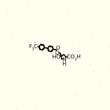 O=C(OC[C@@]1(O)CN[C@H](C(=O)O)C1)c1ccc(-c2ccc(C(F)(F)F)cc2)cc1